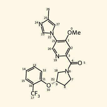 COc1cc(C(=O)N2CC[C@H](Oc3ccccc3C(F)(F)F)C2)ncc1-n1cnc(C)c1